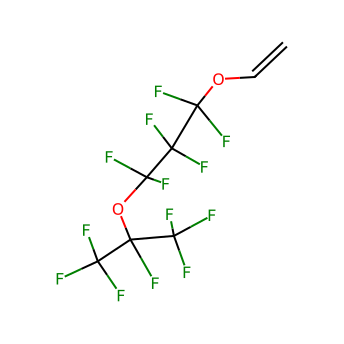 C=COC(F)(F)C(F)(F)C(F)(F)OC(F)(C(F)(F)F)C(F)(F)F